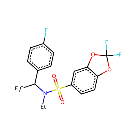 CCN(C(c1ccc(F)cc1)C(F)(F)F)S(=O)(=O)c1ccc2c(c1)OC(F)(F)O2